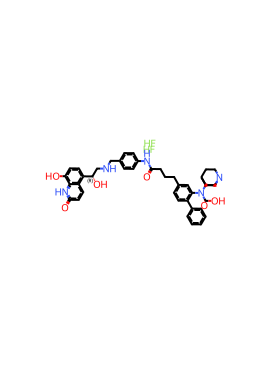 F.F.O=C(CCCc1ccc(-c2ccccc2)c(N(C(=O)O)C2CN3CCC2CC3)c1)Nc1ccc(CNC[C@H](O)c2ccc(O)c3[nH]c(=O)ccc23)cc1